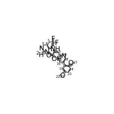 [2H]c1ncc(CC(F)(F)F)c(N[C@@H](Cc2ccc(-c3cc(OC)ccc3OC)cn2)C(=O)O)n1